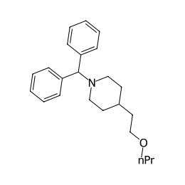 CCCOCCC1CCN(C(c2ccccc2)c2ccccc2)CC1